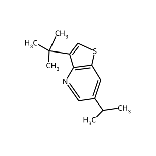 CC(C)c1cnc2c(C(C)(C)C)csc2c1